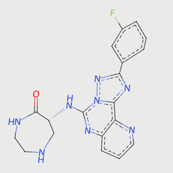 O=C1NCCNC[C@H]1Nc1nc2cccnc2c2nc(-c3cccc(F)c3)nn12